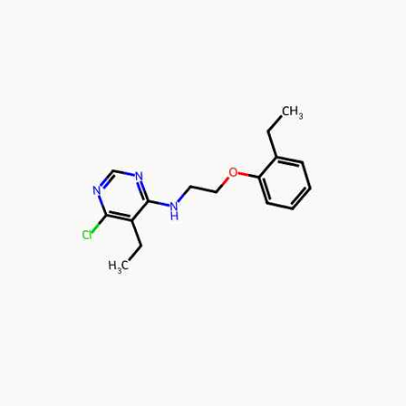 CCc1ccccc1OCCNc1ncnc(Cl)c1CC